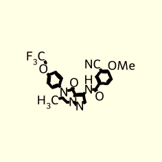 COc1ccc(C(=O)Nc2cnn3c2C(=O)N(c2ccc(OCC(F)(F)F)cc2)C(C)C3)cc1C#N